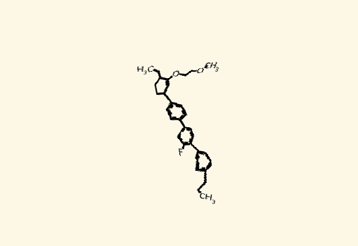 CCCc1ccc(-c2ccc(-c3ccc(C4C=C(OCCOC)C(CC)CC4)cc3)cc2F)cc1